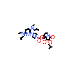 C=CCN(CC)c1ccc(N(CC)CC=C)c(N2CCN(C(=O)OCC34CCCN3C(=O)C(OCC(C)C)C4=O)CC2)n1